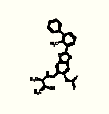 C=C(O)C(C)NCc1cc2nc(-c3cccc(-c4ccccc4)c3C)oc2cc1OC(F)F